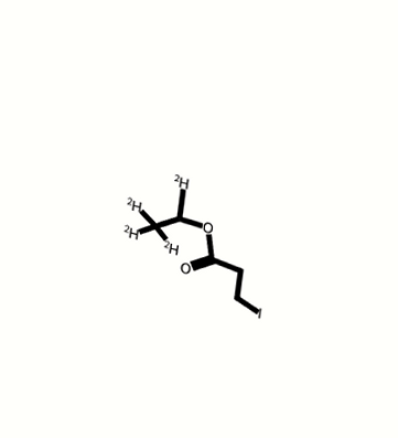 [2H]C(OC(=O)CCI)C([2H])([2H])[2H]